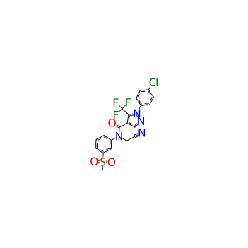 CS(=O)(=O)c1cccc(N(CC#N)C(=O)c2cnn(-c3ccc(Cl)cc3)c2C(F)(F)F)c1